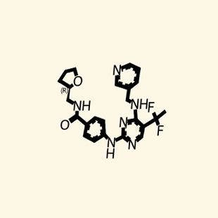 CC(F)(F)c1cnc(Nc2ccc(C(=O)NC[C@H]3CCCO3)cc2)nc1NCc1cccnc1